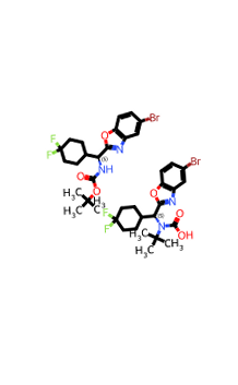 CC(C)(C)N(C(=O)O)[C@H](c1nc2cc(Br)ccc2o1)C1CCC(F)(F)CC1.CC(C)(C)OC(=O)N[C@H](c1nc2cc(Br)ccc2o1)C1CCC(F)(F)CC1